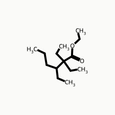 CCCC(CC)C(CC)(CC)C(=O)OCC